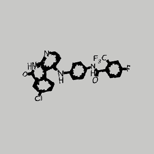 O=C(Nc1ccc(Nc2ccnc3[nH]c(=O)c4cc(Cl)ccc4c23)cc1)c1ccc(F)cc1C(F)(F)F